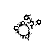 C[C@@H]1C[C@H]2C(=O)OC[C@H](NC(=O)[C@H](Cc3ccccc3)NC(=O)Nc3ccccc3Cl)C(=O)N3CCC[C@H]3C(=O)N3CCCC=C3C(=O)N[C@@H](C)C(=O)N2C1